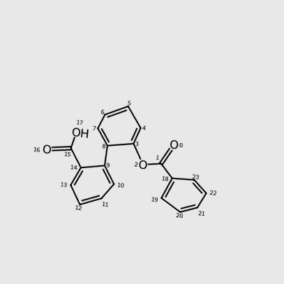 O=C(Oc1ccccc1-c1ccccc1C(=O)O)c1ccccc1